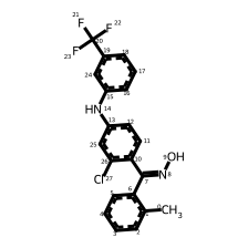 Cc1ccccc1C(=NO)c1ccc(Nc2cccc(C(F)(F)F)c2)cc1Cl